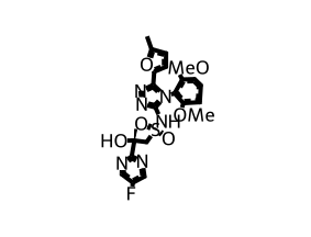 COc1cccc(OC)c1-n1c(NS(=O)(=O)C[C@@](C)(O)c2ncc(F)cn2)nnc1-c1ccc(C)o1